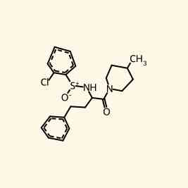 CC1CCN(C(=O)C(CCc2ccccc2)N[S+]([O-])c2ccccc2Cl)CC1